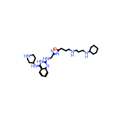 c1ccc2c(c1)=NC(NCc1noc(CCCNCCCNC3CCCCC3)n1)NC=2NC1CCNCC1